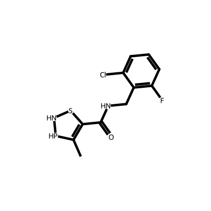 CC1=C(C(=O)NCc2c(F)cccc2Cl)SNP1